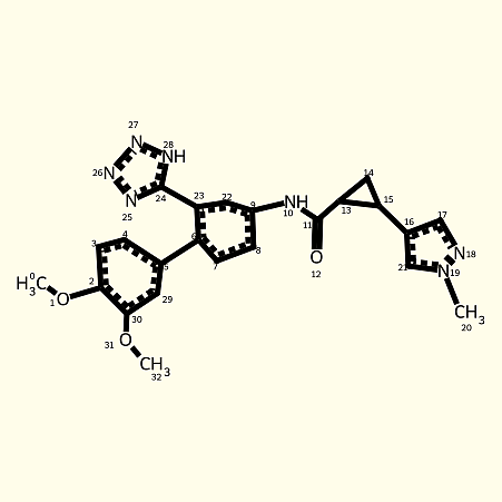 COc1ccc(-c2ccc(NC(=O)C3CC3c3cnn(C)c3)cc2-c2nnn[nH]2)cc1OC